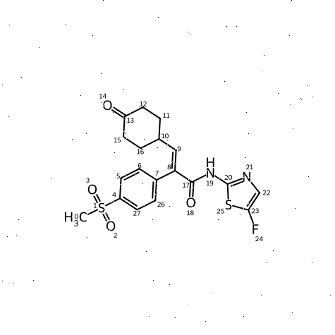 CS(=O)(=O)c1ccc(/C(=C\C2CCC(=O)CC2)C(=O)Nc2ncc(F)s2)cc1